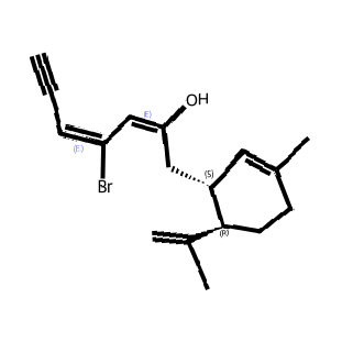 C#C/C=C(Br)\C=C(\O)C[C@@H]1C=C(C)CC[C@H]1C(=C)C